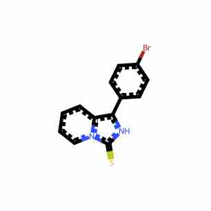 S=c1[nH]c(-c2ccc(Br)cc2)c2ccccn12